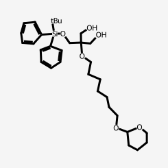 CC(C)(C)[Si](OCC(CO)(CO)OCCCCCCCOC1CCCCO1)(c1ccccc1)c1ccccc1